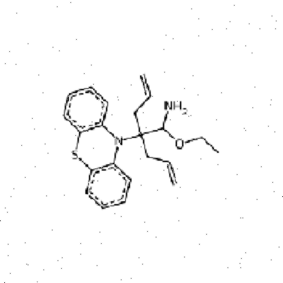 C=CCC(CC=C)(C(N)OCC)N1c2ccccc2Sc2ccccc21